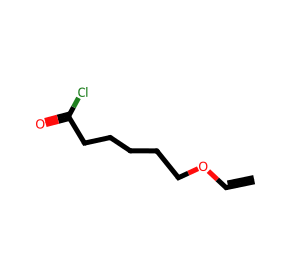 C=COCCCCCC(=O)Cl